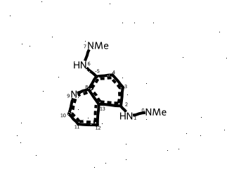 CNNc1ccc(NNC)c2ncccc12